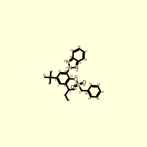 CCC(C)c1cc(C(C)(C)C)cc(-n2nc3ccccc3n2)c1OS(=O)(=O)Cc1ccccc1